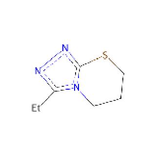 CCc1nnc2n1CCCS2